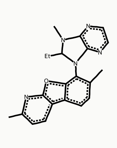 CCC1N(C)c2nccnc2N1c1c(C)ccc2c1oc1nc(C)ccc12